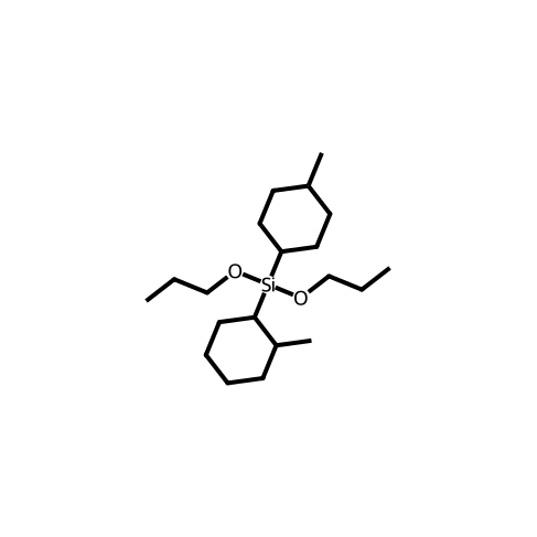 CCCO[Si](OCCC)(C1CCC(C)CC1)C1CCCCC1C